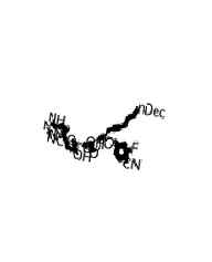 CCCCCCCCCCCCCCC#CC[C@H](COP(=O)(O)OC[C@H]1O[C@@](C#N)(c2ccc3c(N)ncnn23)C[C@@H]1O)OCc1ccc(C#N)c(F)c1